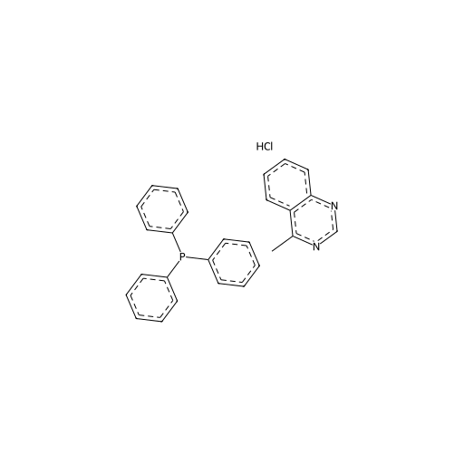 Cc1ncnc2ccccc12.Cl.c1ccc(P(c2ccccc2)c2ccccc2)cc1